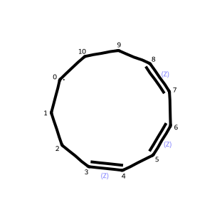 [CH]1CC\C=C/C=C\C=C/CC1